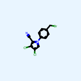 N#Cc1c(Cl)c(Cl)cn1-c1ccc(CBr)cc1